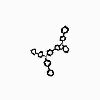 C1=Cc2c(n(-c3ccc(-c4ccccc4)cc3)c3ccc(-c4ccc(N(c5ccc(-c6ccccc6)cc5)c5ccc(-c6ccccc6)cc5)cc4)cc23)CC1